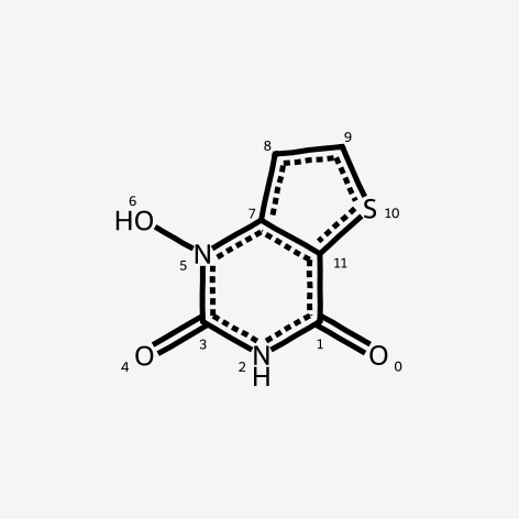 O=c1[nH]c(=O)n(O)c2ccsc12